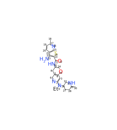 CCN(c1cc2c(cn1)C[C@@H](NC(=O)c1sc3nc(C)ccc3c1N)CO2)C1CCC(C)NC1